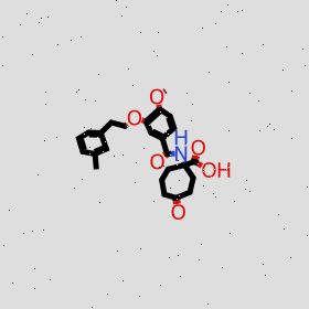 COc1ccc(C(=O)NC2(C(=O)O)CCCC(=O)CC2)cc1OCCc1cccc(C)c1